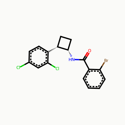 O=C(N[C@H]1CC[C@H]1c1ccc(Cl)cc1Cl)c1ccccc1Br